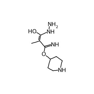 C/C(C(=N)OC1CCNCC1)=C(\O)NN